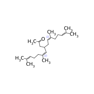 CC(=O)CC(/C=C(/C)CCC=C(C)C)C/C=C(/C)CCC=C(C)C